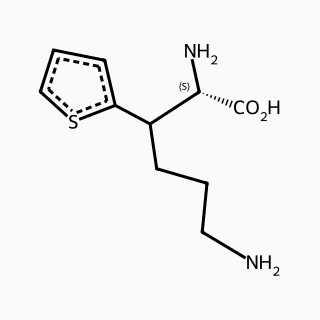 NCCCC(c1cccs1)[C@H](N)C(=O)O